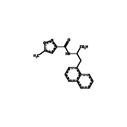 Cc1cc(C(=O)NC(Cc2cccc3ccccc23)C(=O)O)no1